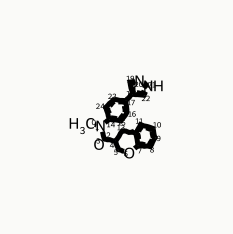 CN(C(=O)C1COc2ccccc2C1)c1ccc(-c2cn[nH]c2)cc1